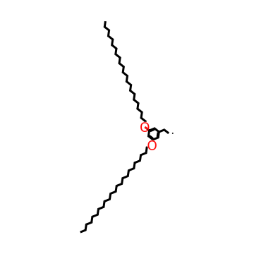 [CH2]Cc1cc(OCCCCCCCCCCCCCCCCCCCCCCC)cc(OCCCCCCCCCCCCCCCCCCCCCCC)c1